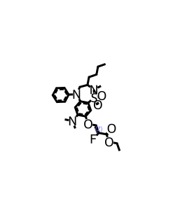 CCCCC1CN(c2ccccc2)c2cc(N(C)C)c(O/C=C(\F)C(=O)OCC)cc2S(=O)(=O)N1C